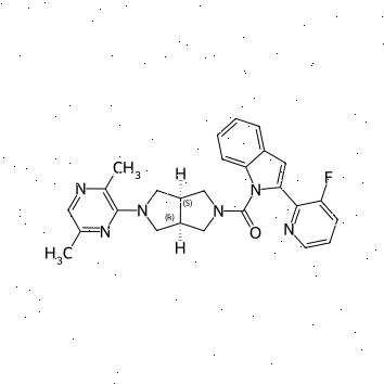 Cc1cnc(C)c(N2C[C@H]3CN(C(=O)n4c(-c5ncccc5F)cc5ccccc54)C[C@H]3C2)n1